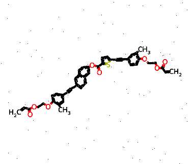 C=CC(=O)OCCOc1ccc(C#Cc2ccc3cc(OC(=O)c4ccc(C#Cc5ccc(OCCOC(=O)C=C)c(C)c5)s4)ccc3c2)cc1C